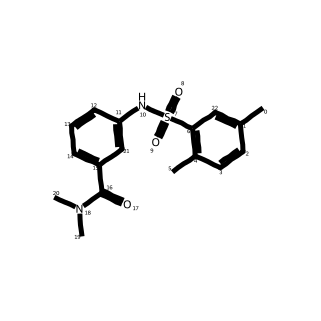 Cc1ccc(C)c(S(=O)(=O)Nc2cccc(C(=O)N(C)C)c2)c1